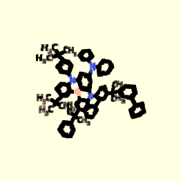 CC(C)(C)c1ccc(N2c3ccc(C(C)(C)C)cc3B3c4cc(C(C)(C)c5ccccc5)ccc4N(c4ccc(C(C)(C)c5cccc(-c6ccccc6)c5)cc4-c4ccccc4)c4cc(N(c5ccccc5)c5ccccc5)cc2c43)cc1